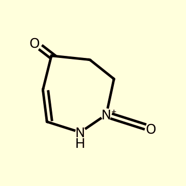 O=C1C=CN[N+](=O)CC1